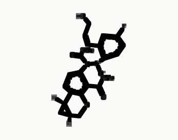 COC(=O)c1c(N(C(=O)OC)[S+]([O-])c2ccc(F)cc2/C=C\CO)ccc2c1OC[C@@H]1C[C@H]21